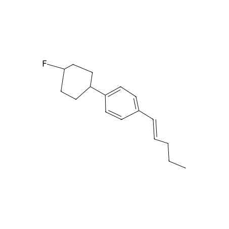 CCCC=Cc1ccc(C2CCC(F)CC2)cc1